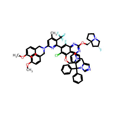 COc1ccc(CN(Cc2ccc(OC)cc2)c2cc(C)c(C(F)(F)F)c(-c3c(Cl)c4c5c(nc(OC[C@@]67CCCN6C[C@H](F)C7)nc5c3F)N(Cc3cncn3C(c3ccccc3)(c3ccccc3)c3ccccc3)CCO4)n2)cc1